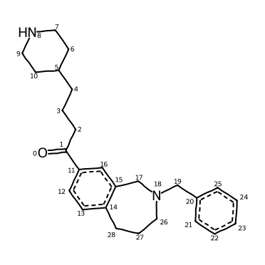 O=C(CCCC1CCNCC1)c1ccc2c(c1)CN(Cc1ccccc1)CCC2